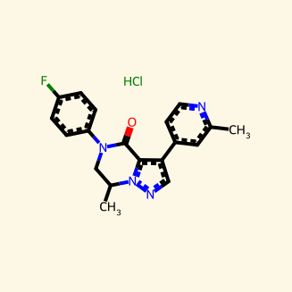 Cc1cc(-c2cnn3c2C(=O)N(c2ccc(F)cc2)CC3C)ccn1.Cl